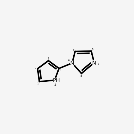 c1c[pH]c(-n2ccnc2)c1